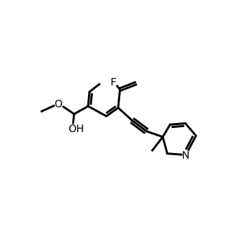 C=C(F)/C(C#CC1(C)C=CC=NC1)=C\C(=C/C)C(O)OC